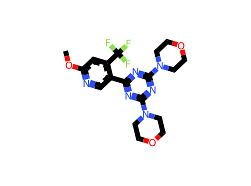 COc1cc(C(F)(F)F)c(-c2nc(N3CCOCC3)nc(N3CCOCC3)n2)cn1